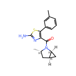 [CH2][C@H]1C[C@@H]2C[C@@H]2N1C(=O)c1nc(N)sc1-c1cccc(C)c1